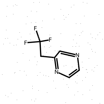 FC(F)(F)Cc1[c]nccn1